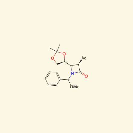 COC(c1ccccc1)N1C(=O)[C@H](C(C)=O)[C@H]1[C@H]1COC(C)(C)O1